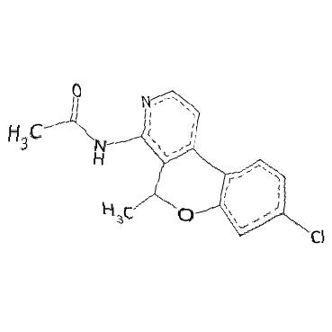 CC(=O)Nc1nccc2c1C(C)Oc1cc(Cl)ccc1-2